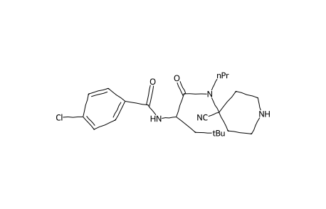 CCCN(C(=O)C(CC(C)(C)C)NC(=O)c1ccc(Cl)cc1)C1(C#N)CCNCC1